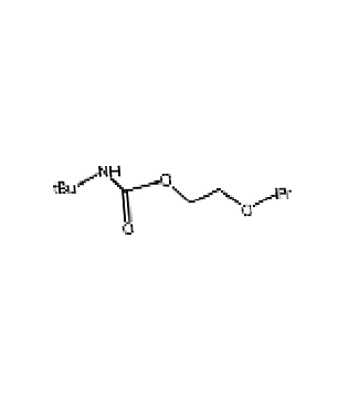 CC(C)OCCOC(=O)NC(C)(C)C